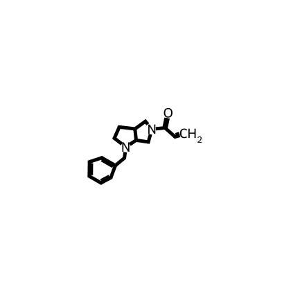 C=CC(=O)N1CC2CCN(Cc3ccccc3)C2C1